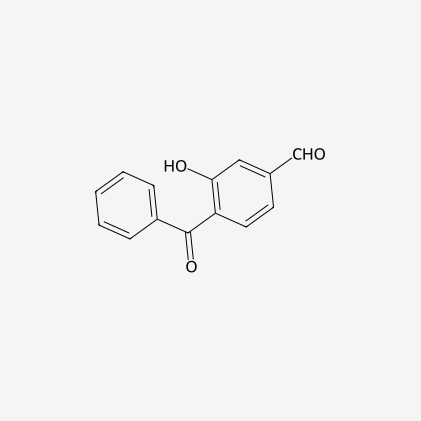 O=Cc1ccc(C(=O)c2ccccc2)c(O)c1